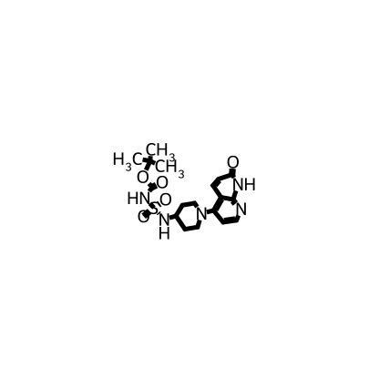 CC(C)(C)OC(=O)NS(=O)(=O)NC1CCN(c2ccnc3[nH]c(=O)ccc23)CC1